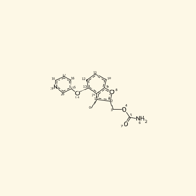 Cc1c(COC(N)=O)oc2cccc(Oc3cccnc3)c12